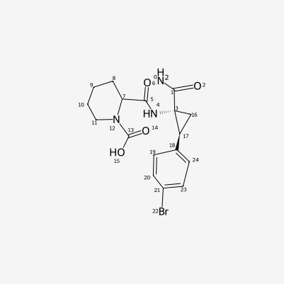 NC(=O)[C@@]1(NC(=O)C2CCCCN2C(=O)O)C[C@H]1c1ccc(Br)cc1